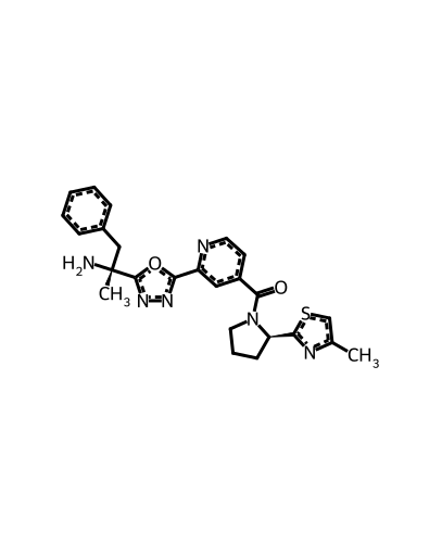 Cc1csc([C@H]2CCCN2C(=O)c2ccnc(-c3nnc([C@](C)(N)Cc4ccccc4)o3)c2)n1